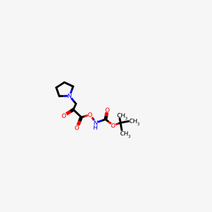 CC(C)(C)OC(=O)NOC(=O)C(=O)CN1CCCC1